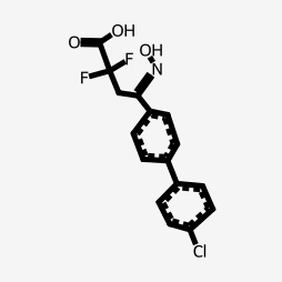 O=C(O)C(F)(F)C/C(=N\O)c1ccc(-c2ccc(Cl)cc2)cc1